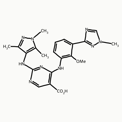 COc1c(Nc2nc(Nc3c(C)nn(C)c3C)ncc2C(=O)O)cccc1-c1ncn(C)n1